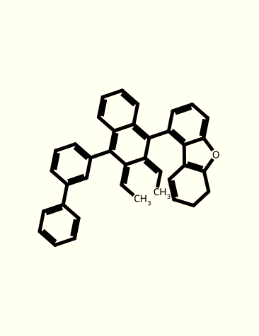 C/C=c1/c(-c2cccc(-c3ccccc3)c2)c2ccccc2c(-c2cccc3oc4c(c23)C=CCC4)/c1=C/C